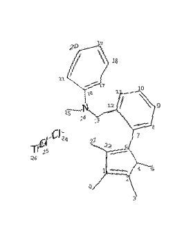 CC1=C(C)C(C)C(c2ccccc2CN(C)c2ccccc2)=C1C.[Cl-].[Cl-].[Ti+2]